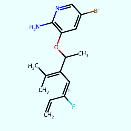 C=C/C(F)=C\C(=C(C)C)C(C)Oc1cc(Br)cnc1N